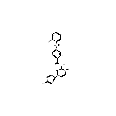 Nc1ccc(-c2ccc(F)cc2)cc1NC(=O)c1ccc(S(=O)(=O)c2ccccc2F)cc1